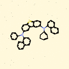 C1=CCCC(N(c2ccc3sc4ccc(N(c5ccccc5)c5cccc6ccccc56)cc4c3c2)c2cccc3ccccc23)=C1